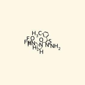 Cc1cccc(-c2sc(N)nc2C(=O)N2C[C@H]3C[C@H]3[C@H]2CNC(=O)C(F)(F)F)c1